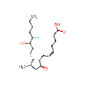 CCCC[C@@H](F)[C@H](O)CC[C@H]1[C@H](C)CC(=O)[C@@H]1C/C=C\CCCC(=O)O